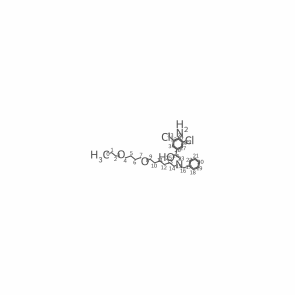 CCCOCCCCOCCCCCCN(Cc1ccccc1)CC(O)c1cc(Cl)c(N)c(Cl)c1